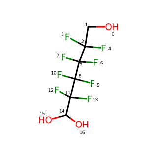 OCC(F)(F)C(F)(F)C(F)(F)C(F)(F)C(O)O